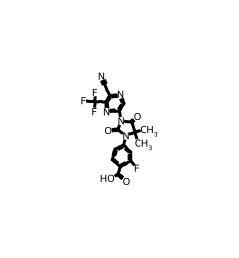 CC1(C)C(=O)N(c2cnc(C#N)c(C(F)(F)F)n2)C(=O)N1c1ccc(C(=O)O)c(F)c1